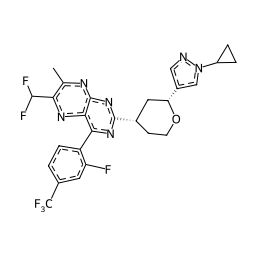 Cc1nc2nc([C@H]3CCO[C@@H](c4cnn(C5CC5)c4)C3)nc(-c3ccc(C(F)(F)F)cc3F)c2nc1C(F)F